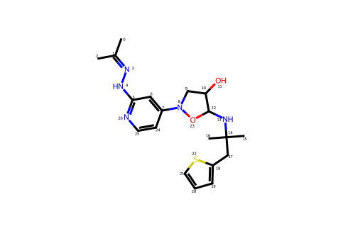 CC(C)=NNc1cc(N2CC(O)C(NC(C)(C)Cc3cccs3)O2)ccn1